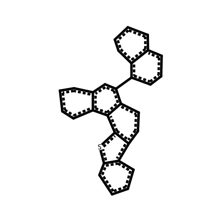 c1ccc2c(-c3cc4ccccc4c4c3ccc3c5ccccc5sc34)cccc2c1